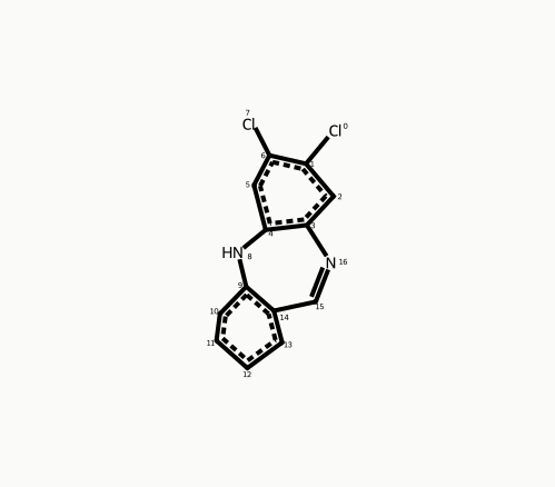 Clc1cc2c(cc1Cl)Nc1ccccc1C=N2